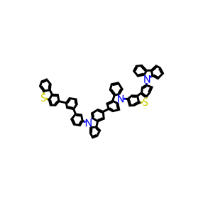 c1cc(-c2cccc(-n3c4ccccc4c4cc(-c5ccc6c(c5)c5ccccc5n6-c5ccc6sc7ccc(-n8c9ccccc9c9ccccc98)cc7c6c5)ccc43)c2)cc(-c2ccc3sc4ccccc4c3c2)c1